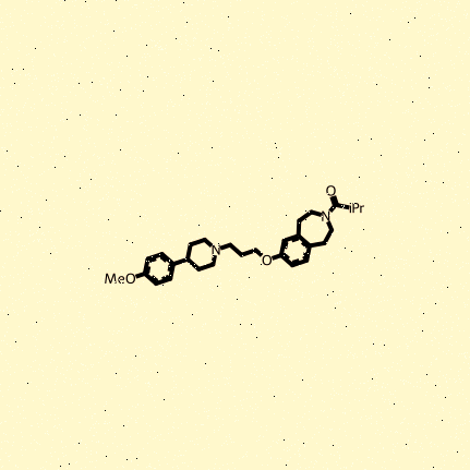 COc1ccc(C2CCN(CCCOc3ccc4c(c3)CCN(C(=O)C(C)C)CC4)CC2)cc1